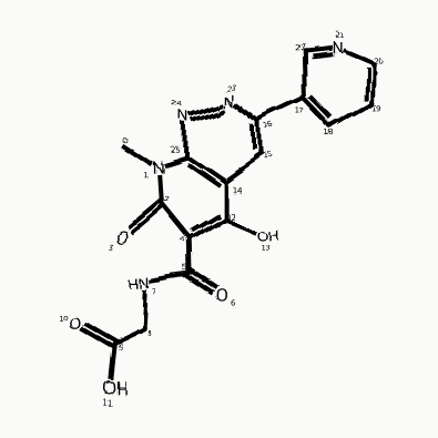 Cn1c(=O)c(C(=O)NCC(=O)O)c(O)c2cc(-c3cccnc3)nnc21